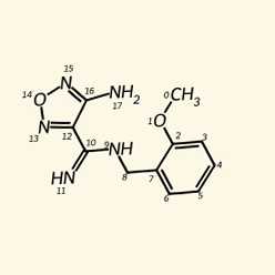 COc1ccccc1CNC(=N)c1nonc1N